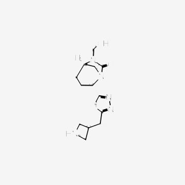 CCN1C(=O)N2C[C@H]1CC[C@H]2c1nnc(CC2CNC2)o1